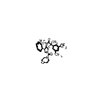 CN(C(=O)C(C)(C)c1cc(C(F)(F)F)cc(C(F)(F)F)c1)[C@H]1CN(C(=O)N2CCOCC2)C[C@H]1c1ccccc1